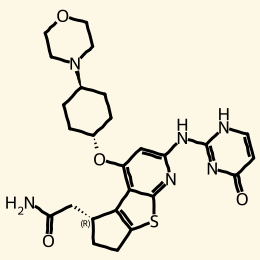 NC(=O)C[C@H]1CCc2sc3nc(Nc4nc(=O)cc[nH]4)cc(O[C@H]4CC[C@H](N5CCOCC5)CC4)c3c21